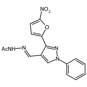 CC(=O)N/N=C/c1cn(-c2ccccc2)nc1-c1ccc([N+](=O)[O-])o1